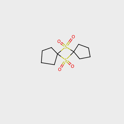 O=S1(=O)C2(CCCC2)S(=O)(=O)C12CCCC2